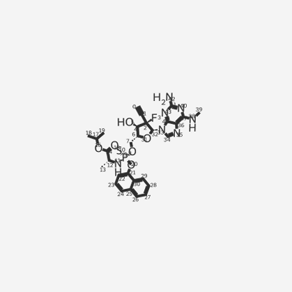 C#C[C@@]1(F)[C@H](O)[C@@H](CO[P@@](=S)(N[C@H](C)C(=O)OC(C)C)Oc2cccc3ccccc23)O[C@H]1n1cnc2c(NC)nc(N)nc21